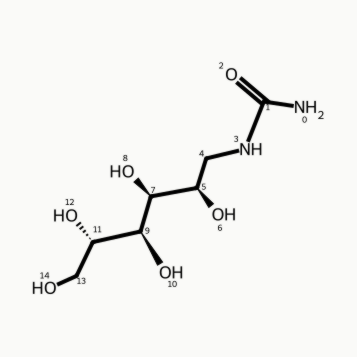 NC(=O)NC[C@@H](O)[C@H](O)[C@@H](O)[C@@H](O)CO